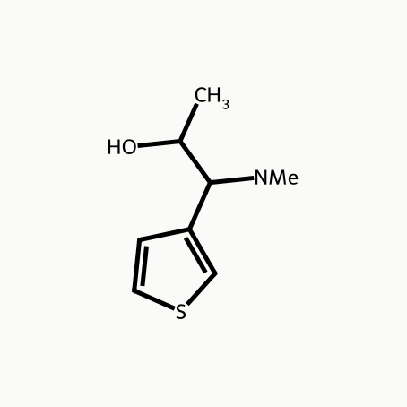 CNC(c1ccsc1)C(C)O